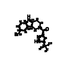 O=C(c1cc(C(F)(F)F)[nH]n1)N1CCc2[nH]c3ccc(Br)cc3c2C1